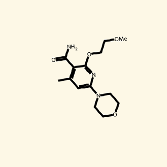 COCCOc1nc(N2CCOCC2)cc(C)c1C(N)=O